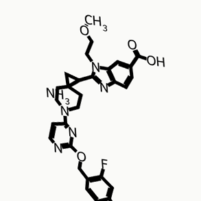 COCCn1c(C2CC23CCN(c2ccnc(OCc4ccc(Cl)cc4F)n2)CC3)nc2ccc(C(=O)O)cc21.N